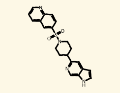 O=S(=O)(c1ccc2ncccc2c1)N1CCC(c2cc3cc[nH]c3cn2)CC1